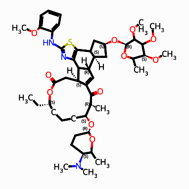 CC[C@H]1CCC[C@H](O[C@H]2CC[C@H](N(C)C)C(C)O2)[C@@H](C)C(=O)C2=C[C@@H]3C(c4nc(Nc5ccccc5OC)sc4C4C[C@@H](O[C@@H]5OC(C)[C@H](OC)C(OC)C5OC)C[C@H]43)[C@@H]2CC(=O)O1